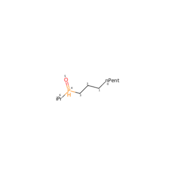 CCCCCCCC[PH](=O)C(C)C